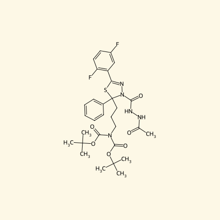 CC(=O)NNC(=O)N1N=C(c2cc(F)ccc2F)SC1(CCCN(C(=O)OC(C)(C)C)C(=O)OC(C)(C)C)c1ccccc1